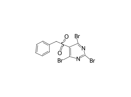 O=S(=O)(Cc1ccccc1)c1c(Br)nc(Br)nc1Br